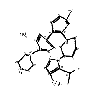 Cl.O=C(O)c1cnn(C2CCCN(c3cc(Cl)ccc3-c3ccc(N4CCNCC4)cc3)C2)c1C(F)F